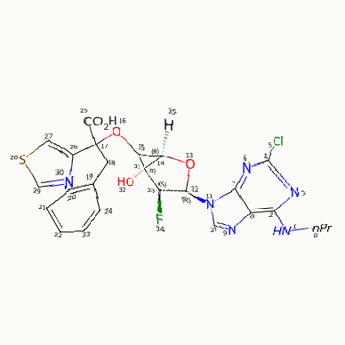 CCCNc1nc(Cl)nc2c1ncn2[C@@H]1O[C@@H]2C(OC(Cc3ccccc3)(C(=O)O)c3cscn3)[C@]2(O)[C@@H]1F